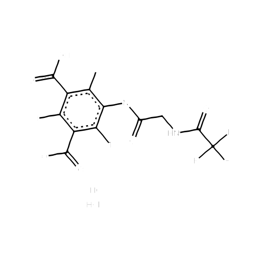 Cl.Cl.O=C(CNC(=O)C(F)(F)F)Nc1c(I)c(C(=O)O)c(I)c(C(=O)O)c1I